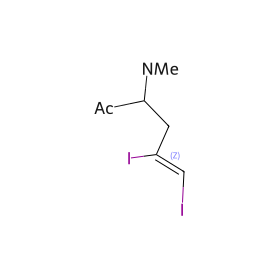 CNC(C/C(I)=C/I)C(C)=O